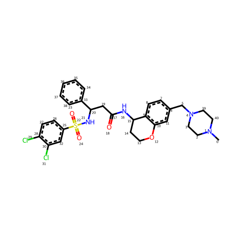 CN1CCN(Cc2ccc3c(c2)OCCC3NC(=O)CC(NS(=O)(=O)c2ccc(Cl)c(Cl)c2)c2ccccc2)CC1